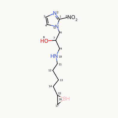 O=[N+]([O-])c1nccn1CC(O)CNCCCCC1BC1